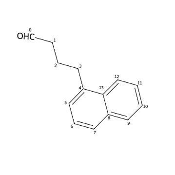 O=CCCCc1cccc2ccccc12